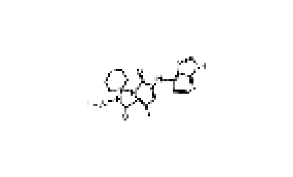 Cc1cc(Nc2ccnc3[nH]cnc23)c(=O)n2c1C(=O)N(C(=O)O)C21CCCCC1